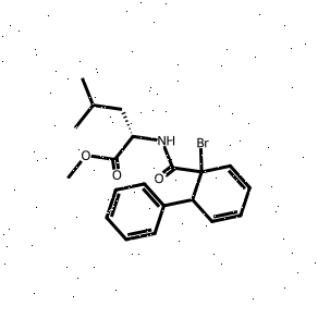 COC(=O)[C@H](CC(C)C)NC(=O)C1(Br)C=CC=CC1c1ccccc1